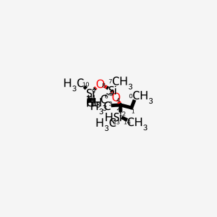 CCC(C)(O[Si](C)(C)O[SiH](C)C)[SiH](C)C